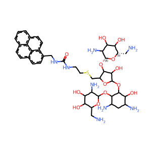 NCC1OC(OC2C(N)CC(N)C(O)C2OC2OC(CSCCNC(=O)NCc3ccc4ccc5cccc6ccc3c4c56)C(O[C@H]3O[C@@H](CN)C(O)C(O)C3N)C2O)C(N)C(O)C1O